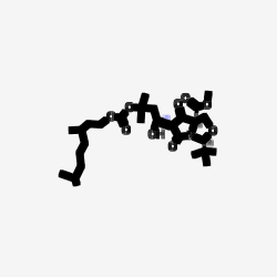 COC(=O)[C@]12CO[C@H](C(C)(C)C)N1C(=O)/C(=C(\O)CC(C)(C)OC(=O)OCCC(C)CCCC(C)C)C2=O